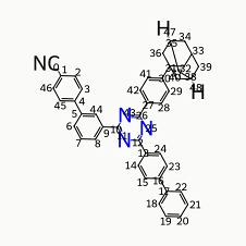 N#Cc1ccc(-c2cccc(-c3nc(-c4ccc(-c5ccccc5)cc4)nc(-c4ccc(C56CC7C[C@H](C5)C[C@@H](C7)C6)cc4)n3)c2)cc1